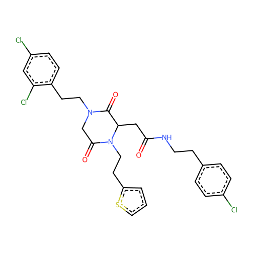 O=C(CC1C(=O)N(CCc2ccc(Cl)cc2Cl)CC(=O)N1CCc1cccs1)NCCc1ccc(Cl)cc1